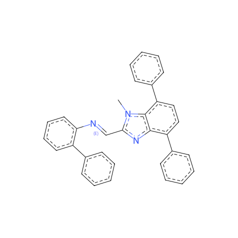 Cn1c(/C=N/c2ccccc2-c2ccccc2)nc2c(-c3ccccc3)ccc(-c3ccccc3)c21